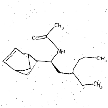 CCC(CC)C[C@H](NC(C)=O)[C@@H]1CC2C=CC1C2